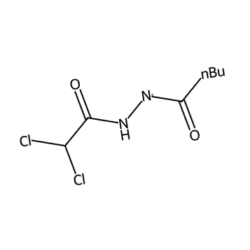 CCCCC(=O)[N]NC(=O)C(Cl)Cl